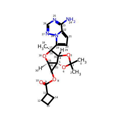 CC1(C)O[C@@H]2[C@@]3(O1)C(OC(=O)C1CCC1)[C@H]3O[C@@]2(C)c1ccc2c(N)ncnn12